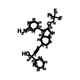 CC(O)(C#Cc1ccc2nc(OCC(F)(F)F)n(-c3ccnc(N)n3)c2c1)c1ncccn1